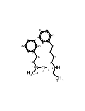 CCNCCCCc1ccccc1.CN(C)CCc1ccccc1